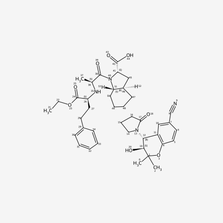 CC1(C)Oc2ccc(C#N)cc2[C@@H](N2CCCC2=O)[C@@H]1O.CCOC(=O)[C@H](CCc1ccccc1)N[C@@H](C)C(=O)N1[C@H](C(=O)O)C[C@H]2CCCC[C@@H]21